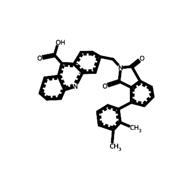 Cc1cccc(-c2cccc3c2C(=O)N(Cc2ccc4c(C(=O)O)c5ccccc5nc4c2)C3=O)c1C